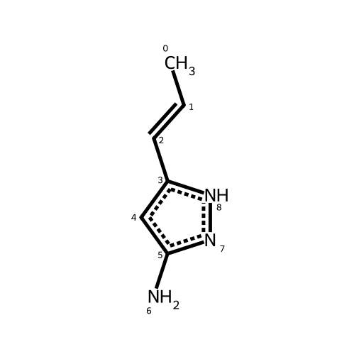 C/C=C/c1cc(N)n[nH]1